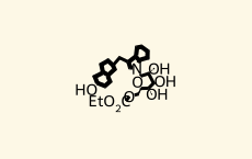 CCOC(=O)OC[C@H]1O[C@@H](n2cc(Cc3ccc4cc(O)ccc4c3)c3ccccc32)[C@H](O)[C@@H](O)[C@@H]1O